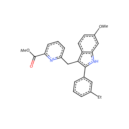 CCc1cccc(-c2[nH]c3cc(OC)ccc3c2Cc2cccc(C(=O)OC)n2)c1